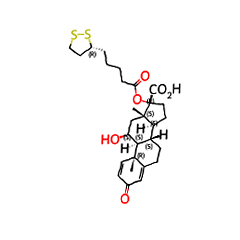 C[C@]12C=CC(=O)C=C1CC[C@@H]1[C@@H]2[C@@H](O)C[C@@]2(C)[C@H]1CC[C@]2(OC(=O)CCCC[C@@H]1CCSS1)C(=O)O